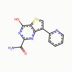 NC(=O)c1nc(O)c2scc(-c3ccccn3)c2n1